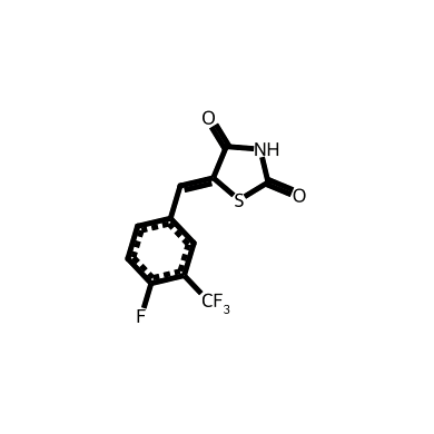 O=C1NC(=O)C(=Cc2ccc(F)c(C(F)(F)F)c2)S1